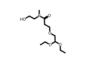 CCOC(COCCC(=O)N(C)CCO)OCC